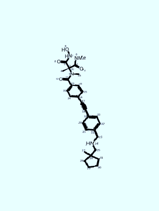 CNC(=O)[C@@](C)(C(=O)NO)N(C)C(=O)c1ccc(C#Cc2ccc(CNCC3(C)CCCC3)cc2)cc1